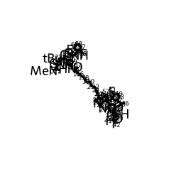 CNC(C)C(=O)NC(C(=O)N1CC(NC(=O)CCCCCCCCC#Cc2cnc(N)c3c(-c4ccc(NS(=O)(=O)C(F)F)c(OC(C)c5ccc(F)cc5)c4)nn(C)c23)C[C@H]1C(=O)Nc1c(F)cccc1F)C(C)(C)C